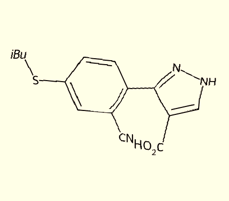 CCC(C)Sc1ccc(-c2n[nH]cc2C(=O)O)c(C#N)c1